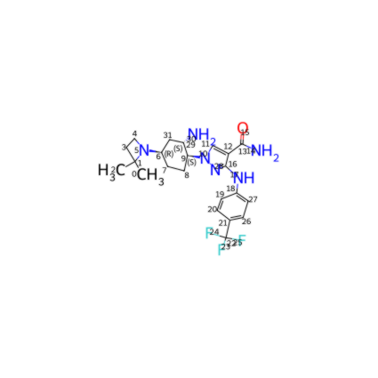 CC1(C)CCN1[C@@H]1CC[C@H](n2cc(C(N)=O)c(Nc3ccc(C(F)(F)F)cc3)n2)[C@@H](N)C1